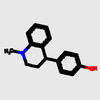 CN1CCC(c2ccc(O)cc2)c2ccccc21